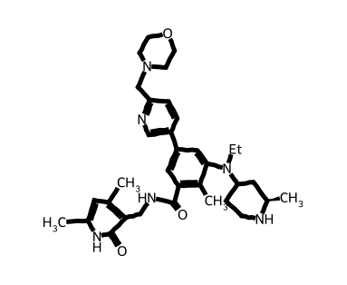 CCN(c1cc(-c2ccc(CN3CCOCC3)nc2)cc(C(=O)NCc2c(C)cc(C)[nH]c2=O)c1C)C1CCN[C@H](C)C1